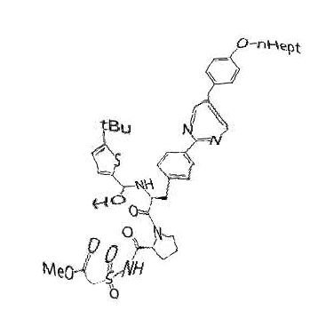 CCCCCCCOc1ccc(-c2cnc(-c3ccc(C[C@H](NC(O)c4ccc(C(C)(C)C)s4)C(=O)N4CCC[C@H]4C(=O)NS(=O)(=O)CC(=O)OC)cc3)nc2)cc1